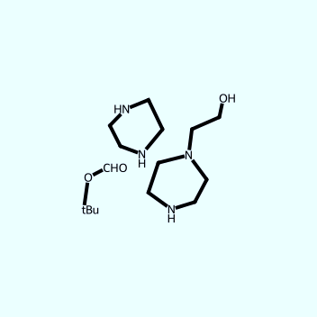 C1CNCCN1.CC(C)(C)OC=O.OCCN1CCNCC1